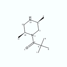 C[C@H]1CN(C(=O)C(C)(C)C)[C@@H](C)CN1